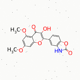 COc1cc(OC)c2c(=O)c(O)c(-c3ccc4oc(=O)[nH]c4c3)oc2c1